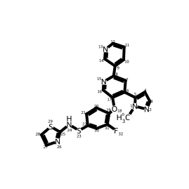 Cn1nccc1-c1cc(-c2cccnc2)ncc1Oc1ccc(SNc2nccs2)cc1F